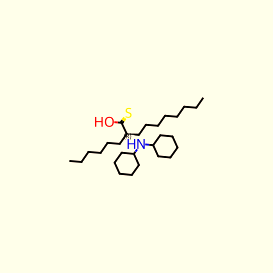 C1CCC(NC2CCCCC2)CC1.CCCCCCCC[C@@H](CCCCCC)C(O)=S